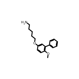 COc1ccc(OCCCCCN)cc1-c1ccccc1